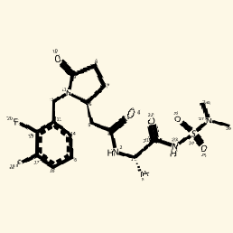 CC(C)[C@H](NC(=O)C[C@@H]1CCC(=O)N1Cc1cccc(F)c1F)C(=O)NS(=O)(=O)N(C)C